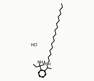 CCCCCCCCCCCCCCCCCCNC(C)c1ccccc1C(N)(CC)CC.Cl